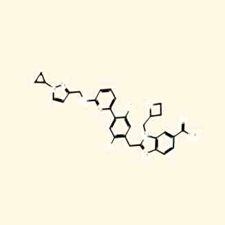 O=C(O)c1ccc2nc(Cc3cc(F)c(-c4cccc(OCc5ccn(C6CC6)n5)n4)cc3F)n(CC3CCO3)c2c1